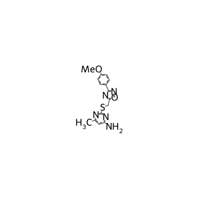 COc1ccc(-c2noc(CSc3nc(C)cc(N)n3)n2)cc1